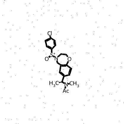 CC(=O)N(C)[C@@H](C)c1ccc2c(c1)CN([S+]([O-])c1ccc(Cl)cc1)CCO2